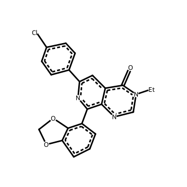 CCn1cnc2c(-c3cccc4c3OCO4)nc(-c3ccc(Cl)cc3)cc2c1=O